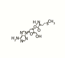 CSCC[C@H](N)C(=O)O[C@H]1C[C@H](n2cnc3c(N)ncnc32)O[C@@H]1CO